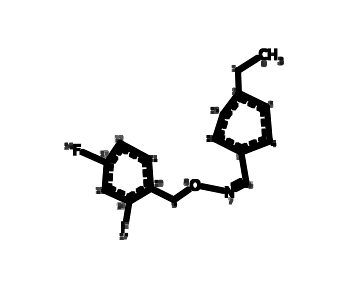 CCc1ccc(/[C]=N\OCc2ccc(F)cc2F)cc1